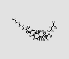 CCCCCCCC(=O)OC1CC[C@@]2(C)C(CC[C@H]3[C@@H]4CC[C@H]([C@H](C)CCCC(C)C)[C@@]4(C)CC[C@@H]32)C1